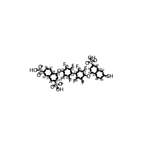 O=S(=O)(O)c1cc(Oc2c(F)c(F)c(-c3c(F)c(F)c(Oc4cc(S(=O)(=O)O)cc5cc(S(=O)(=O)O)ccc45)c(F)c3F)c(F)c2F)c2ccc(S)cc2c1